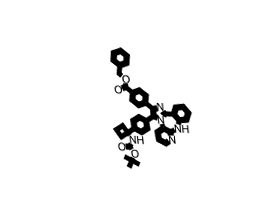 CC(C)(C)OC(=O)NC1(c2ccc(-c3c(-c4ccc(C(=O)OCc5ccccc5)cc4)nc4n3-c3cccnc3Nc3ccccc3-4)cc2)CCC1